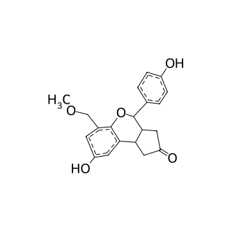 COCc1cc(O)cc2c1OC(c1ccc(O)cc1)C1CC(=O)CC21